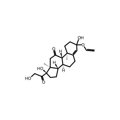 C=COC1(O)C=C2CC[C@@H]3[C@H](C(=O)C[C@@]4(C)[C@H]3CC[C@]4(O)C(=O)CO)[C@@]2(C)CC1